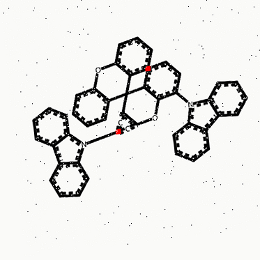 c1ccc2c(c1)Oc1ccccc1C21c2cc(-n3c4ccccc4c4ccccc43)ccc2Oc2c(-n3c4ccccc4c4ccccc43)cccc21